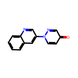 O=c1ccn(-c2cnc3ccccc3c2)nc1